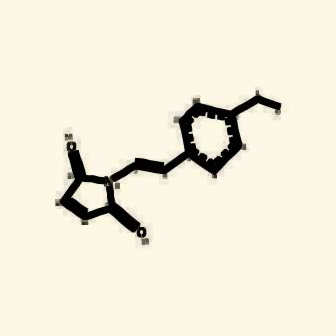 CCc1ccc(C=CN2C(=O)C=CC2=O)cc1